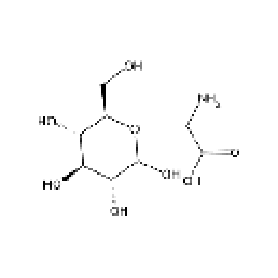 NCC(=O)O.OC[C@H]1OC(O)[C@H](O)[C@@H](O)[C@@H]1O